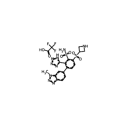 Cn1nnc2ccc(-c3ccc(S(=O)(=O)C4CNC4)c(S(N)(=O)=O)c3-c3nnn[nH]3)cc21.O=C(O)C(F)(F)F